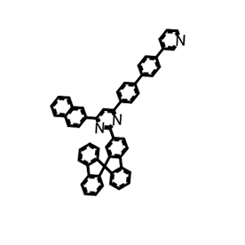 c1cncc(-c2ccc(-c3ccc(-c4cc(-c5ccc6ccccc6c5)nc(-c5ccc6c(c5)C5(c7ccccc7-c7ccccc75)c5ccccc5-6)n4)cc3)cc2)c1